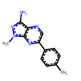 Cc1ccc(-c2cnc3c(N)nn(C)c3n2)cc1